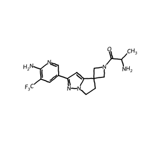 CC(N)C(=O)N1CC2(CCn3nc(-c4cnc(N)c(C(F)(F)F)c4)cc32)C1